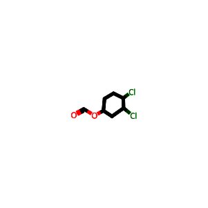 O=COC1CCC(Cl)C(Cl)C1